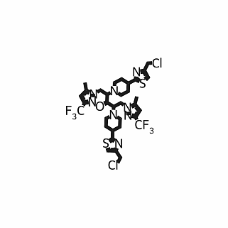 Cc1cc(C(F)(F)F)nn1CC(C(=O)C(Cn1nc(C(F)(F)F)cc1C)N1CCC(c2nc(CCl)cs2)CC1)N1CCC(c2nc(CCl)cs2)CC1